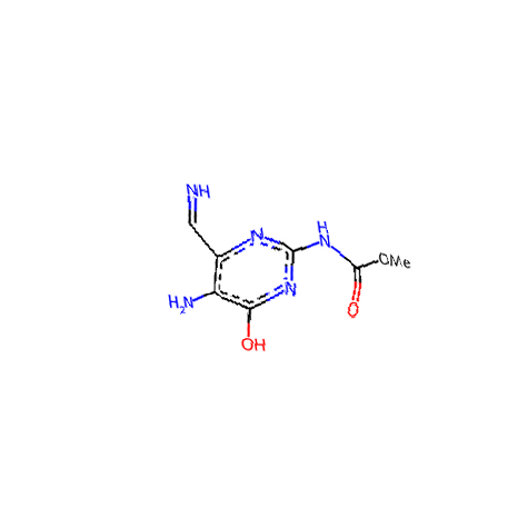 COC(=O)Nc1nc(O)c(N)c(C=N)n1